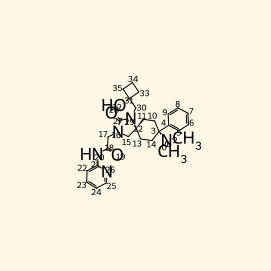 CN(C)[C@]1(c2ccccc2)CC[C@@]2(CC1)CN(CC(=O)Nc1ccccn1)C(=O)N2CC1(O)CCC1